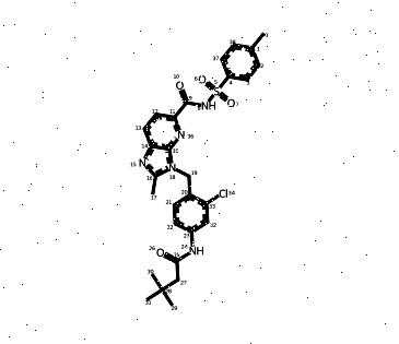 Cc1ccc(S(=O)(=O)NC(=O)c2ccc3nc(C)n(Cc4ccc(NC(=O)CC(C)(C)C)cc4Cl)c3n2)cc1